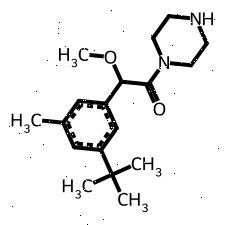 COC(C(=O)N1CCNCC1)c1cc(C)cc(C(C)(C)C)c1